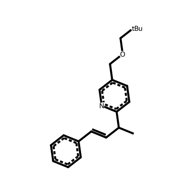 CC(C=Cc1ccccc1)c1ccc(COCC(C)(C)C)cn1